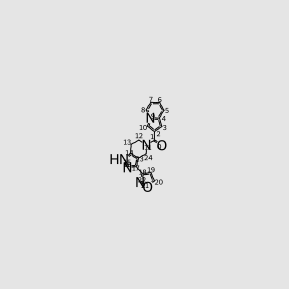 O=C(c1cc2ccccn2c1)N1CCc2[nH]nc(-c3ccon3)c2C1